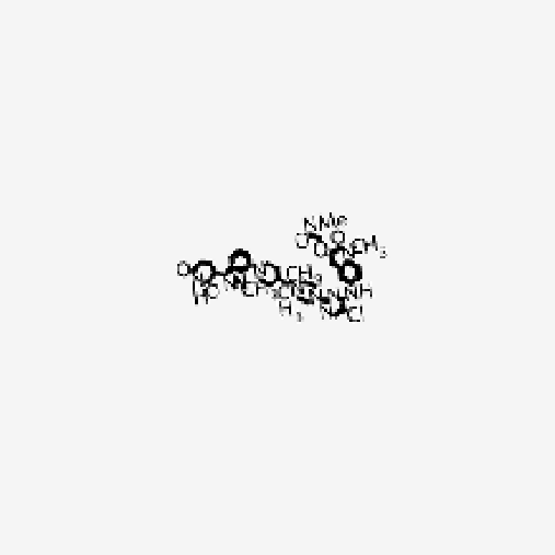 CNC(=O)COc1cc2cc(Nc3nc(N4CCN(C(C)(C)C5CCN(c6cccc7c(C8CCC(=O)NC8=O)nn(C)c67)CC5)CC4)ncc3Cl)ccc2n(C)c1=O